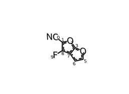 N#Cc1oc2occc2c1F